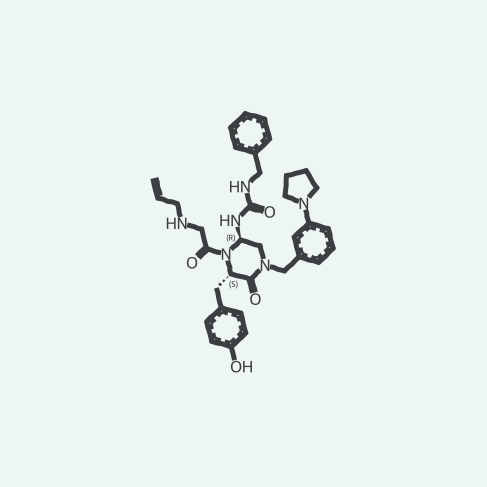 C=CCNCC(=O)N1[C@@H](NC(=O)NCc2ccccc2)CN(Cc2cccc(N3CCCC3)c2)C(=O)[C@@H]1Cc1ccc(O)cc1